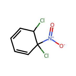 O=[N+]([O-])C1(Cl)C=CC=CC1Cl